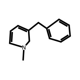 CN1C=CC=C(Cc2ccccc2)C1